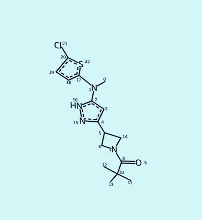 CN(c1cc(C2CN(C(=O)C(C)(C)C)C2)n[nH]1)c1ccc(Cl)s1